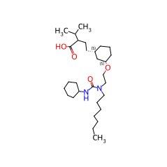 CCCCCCCN(CCO[C@H]1CCC[C@@H](CCC(C(=O)O)C(C)C)C1)C(=O)NC1CCCCC1